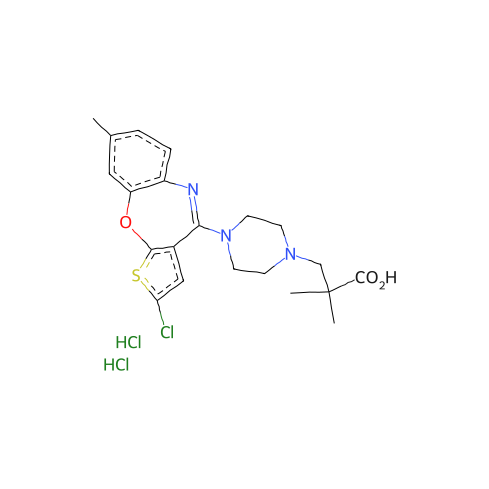 Cc1ccc2c(c1)Oc1sc(Cl)cc1C(N1CCN(CC(C)(C)C(=O)O)CC1)=N2.Cl.Cl